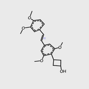 COc1ccc(/C=C/c2cc(OC)c(C3CC(O)C3)c(OC)c2)cc1OC